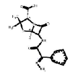 CC1(C)S[C@@H]2C(NC(=O)/C(=N/N)c3ccccc3)C(=O)N2[C@H]1C(=O)O